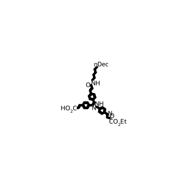 CCCCCCCCCCCCCCCCNC(=O)C=Cc1ccc(-c2[nH]c(-c3ccc(C4=NOC(C(=O)OCC)C4)cc3)nc2-c2ccc(/C=C/C(=O)O)cc2)cc1